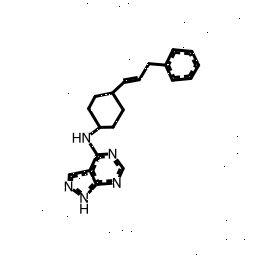 C(=CC1CCC(Nc2ncnc3[nH]ncc23)CC1)Cc1ccccc1